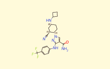 N#C[C@H]1C[C@H](NC2CCC2)CC[C@@H]1n1cc(C(N)=O)c(Nc2ccc(C(F)(F)F)cc2)n1